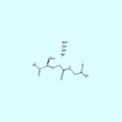 N[C@@H](CCC(=O)OCC(=O)O)C(=O)O.[NaH].[NaH].[NaH].[NaH]